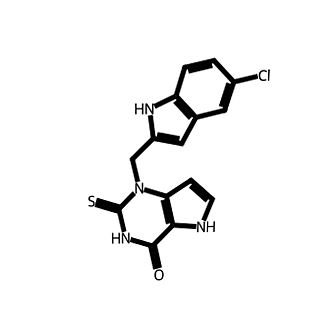 O=c1[nH]c(=S)n(Cc2cc3cc(Cl)ccc3[nH]2)c2cc[nH]c12